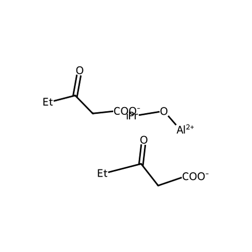 CC(C)[O][Al+2].CCC(=O)CC(=O)[O-].CCC(=O)CC(=O)[O-]